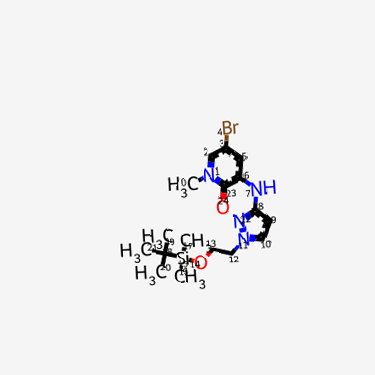 Cn1cc(Br)cc(Nc2ccn(CCO[Si](C)(C)C(C)(C)C)n2)c1=O